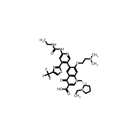 CCNC(=O)Nc1cc(-c2nc(C(F)(F)F)cs2)c(-c2cc3c(=O)c(C(=O)O)cn(C[C@@H]4CCCN4CC)c3cc2OCCN(C)C)cn1